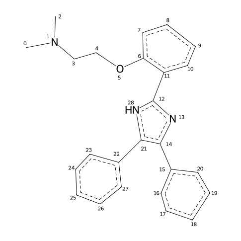 CN(C)CCOc1ccccc1-c1nc(-c2ccccc2)c(-c2ccccc2)[nH]1